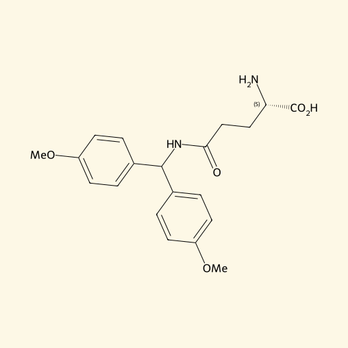 COc1ccc(C(NC(=O)CC[C@H](N)C(=O)O)c2ccc(OC)cc2)cc1